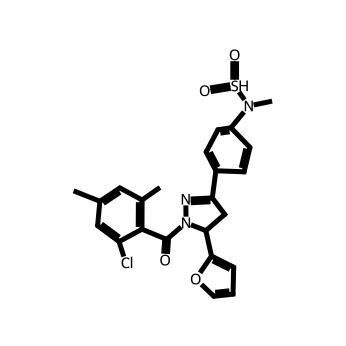 Cc1cc(C)c(C(=O)N2N=C(c3ccc(N(C)[SH](=O)=O)cc3)CC2c2ccco2)c(Cl)c1